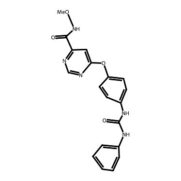 CONC(=O)c1cc(Oc2ccc(NC(=O)Nc3ccccc3)cc2)ncn1